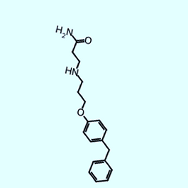 NC(=O)CCNCCCOc1ccc(Cc2ccccc2)cc1